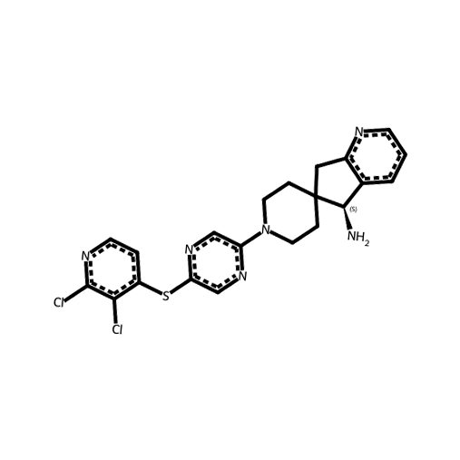 N[C@@H]1c2cccnc2CC12CCN(c1cnc(Sc3ccnc(Cl)c3Cl)cn1)CC2